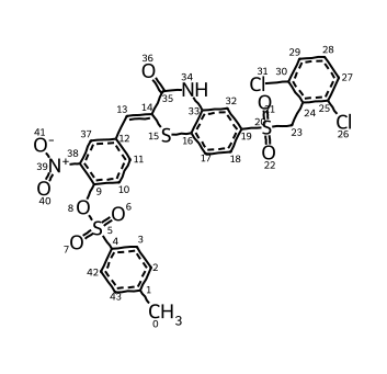 Cc1ccc(S(=O)(=O)Oc2ccc(/C=C3\Sc4ccc(S(=O)(=O)Cc5c(Cl)cccc5Cl)cc4NC3=O)cc2[N+](=O)[O-])cc1